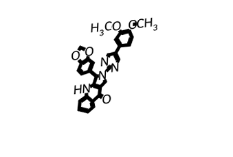 COc1ccc(-c2cnc(N3Cc4c([nH]c5ccccc5c4=O)C3c3ccc4c(c3)OCO4)nc2)cc1OC